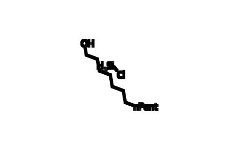 CCCCCCCCCCCCO.[SiH3]Cl